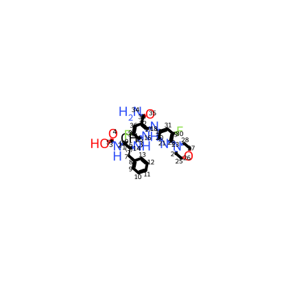 C[C@H](NC(=O)O)[C@H](Cc1ccccc1)Nc1nc(Nc2cnc(N3CCOCC3)c(F)c2)c(C(N)=O)cc1F